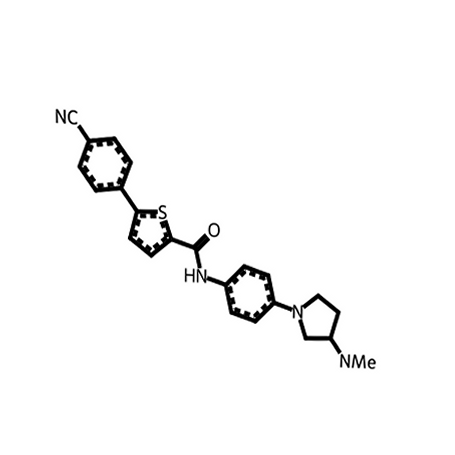 CNC1CCN(c2ccc(NC(=O)c3ccc(-c4ccc(C#N)cc4)s3)cc2)C1